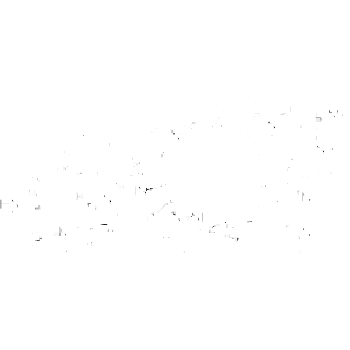 CCn1c(-c2cc(N3CCN(C)CC3)cnc2[C@H](C)OC)c2c3cc(ccc31)-c1csc(n1)C[C@H](NC(=O)C(C1CCCC1)N1CC[C@]3(CCN(C(=O)[C@@H]4NC4C4CC4)C3)C1=O)C(=O)N1CCC[C@H](N1)C(=O)OCC(C)(C)C2